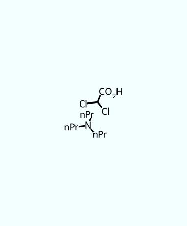 CCCN(CCC)CCC.O=C(O)C(Cl)Cl